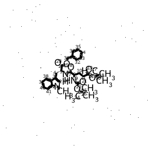 Cn1cc(C[C@@H](NC(=O)C(CCC(=O)OC(C)(C)C)NC(=O)OC(C)(C)C)C(=O)OCc2ccccc2)c2ccccc21